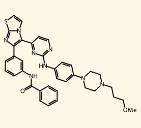 COCCCN1CCN(c2ccc(Nc3nccc(-c4c(-c5cccc(NC(=O)c6ccccc6)c5)nc5sccn45)n3)cc2)CC1